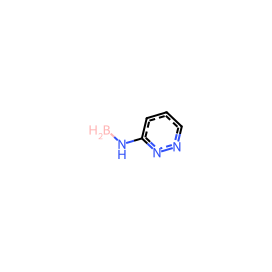 BNc1cccnn1